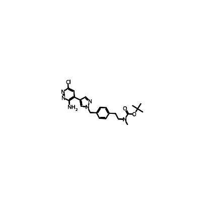 CN(CCc1ccc(Cn2cc(-c3cc(Cl)nnc3N)cn2)cc1)C(=O)OC(C)(C)C